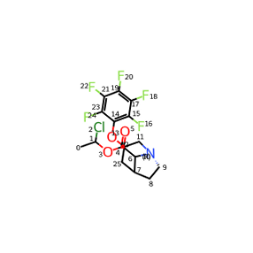 CC(Cl)OC(=O)C1C2CC[N@@]1CC(Oc1c(F)c(F)c(F)c(F)c1F)C2